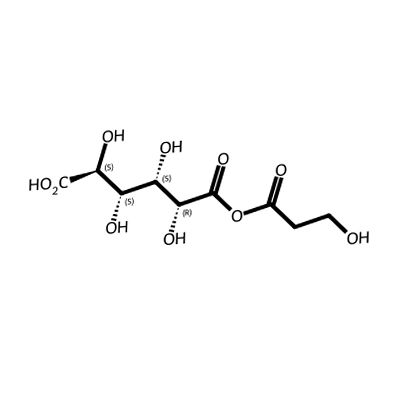 O=C(CCO)OC(=O)[C@H](O)[C@@H](O)[C@H](O)[C@H](O)C(=O)O